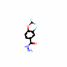 NNC(=O)c1ccc(OC(F)F)c(F)c1